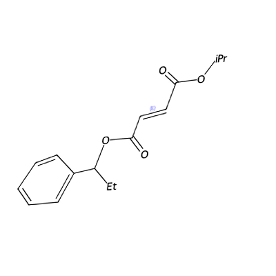 CCC(OC(=O)/C=C/C(=O)OC(C)C)c1ccccc1